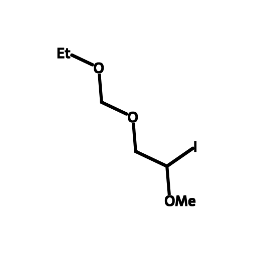 CCOCOCC(I)OC